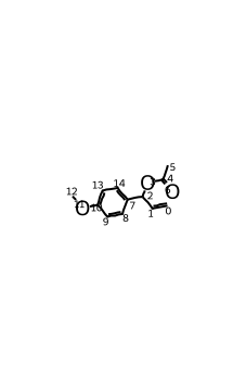 C=CC(OC(C)=O)c1ccc(OC)cc1